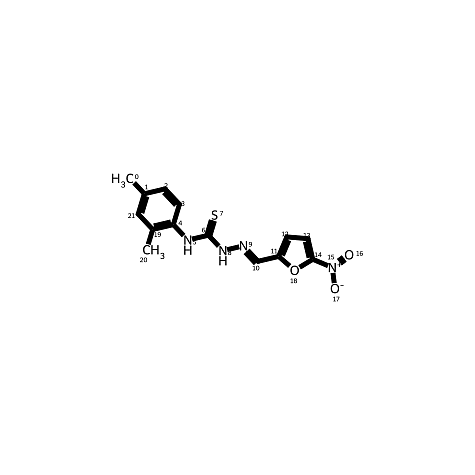 Cc1ccc(NC(=S)NN=Cc2ccc([N+](=O)[O-])o2)c(C)c1